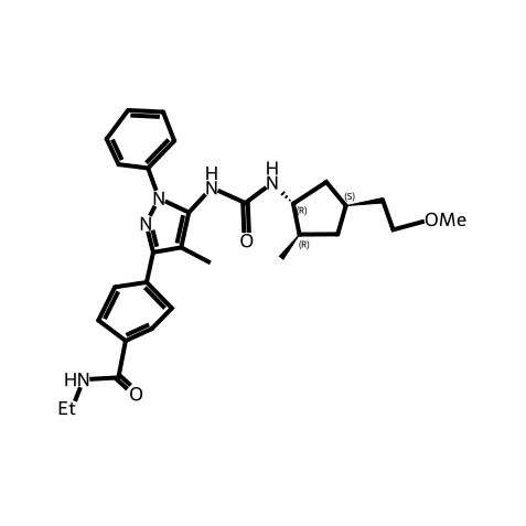 CCNC(=O)c1ccc(-c2nn(-c3ccccc3)c(NC(=O)N[C@@H]3C[C@@H](CCOC)C[C@H]3C)c2C)cc1